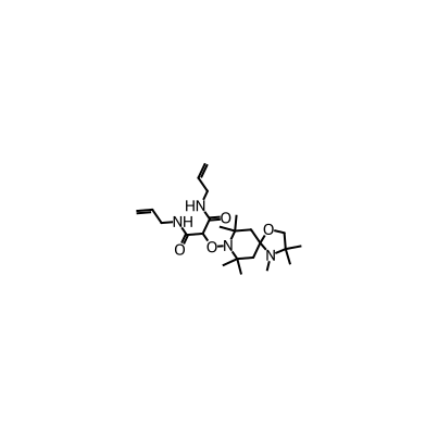 C=CCNC(=O)C(ON1C(C)(C)CC2(CC1(C)C)OCC(C)(C)N2C)C(=O)NCC=C